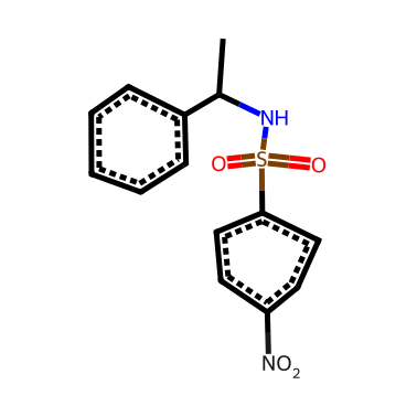 CC(NS(=O)(=O)c1ccc([N+](=O)[O-])cc1)c1ccccc1